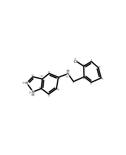 Clc1ccccc1CNc1ccc2[nH]ncc2c1